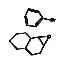 C1CCC2C(C1)CCC1OC12.CC(C)c1ccccc1